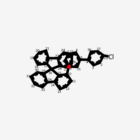 Clc1ccc(-c2cccc(-c3cccc4c3C3(c5ccccc5-c5ccccc53)c3ccccc3-4)c2)cc1